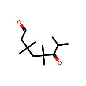 CC(C)C(=O)C(C)(C)CC(C)(C)CC=O